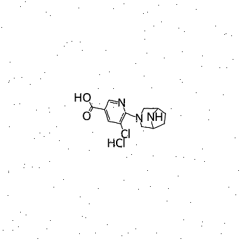 Cl.O=C(O)c1cnc(N2CC3CCC(C2)N3)c(Cl)c1